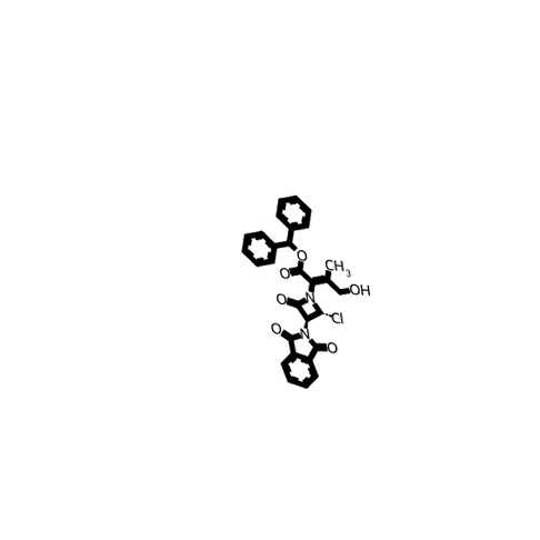 CC(CO)=C(C(=O)OC(c1ccccc1)c1ccccc1)N1C(=O)[C@H](N2C(=O)c3ccccc3C2=O)[C@H]1Cl